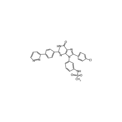 CS(=O)(=O)Nc1cccc(-n2c(-c3ccc(Cl)cc3)nc3c(=O)[nH]c(-c4ccc(-c5cccnn5)cc4)nc32)c1